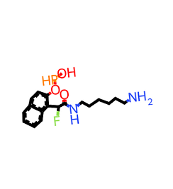 NCCCCCCNC(=O)C(F)c1c(OPO)ccc2ccccc12